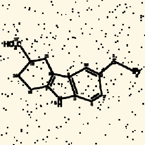 CC(C)Sc1ccc2[nH]c3c(c2c1)CC(C(=O)O)CC3